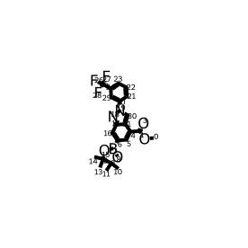 COC(=O)c1cc(B2OC(C)(C)C(C)(C)O2)cc2nn(-c3cccc(C(F)(F)F)c3)cc12